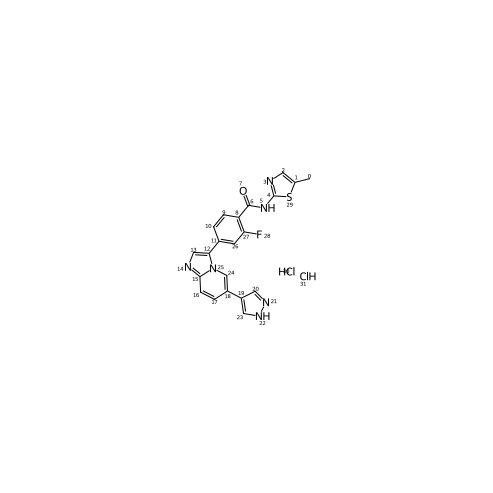 Cc1cnc(NC(=O)c2ccc(-c3cnc4ccc(-c5cn[nH]c5)cn34)cc2F)s1.Cl.Cl